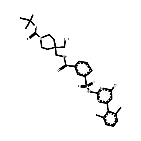 Cc1cccc(C)c1-c1cc(Cl)nc(NS(=O)(=O)c2cccc(C(=O)NCC3(CO)CCN(C(=O)OC(C)(C)C)CC3)c2)n1